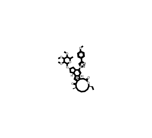 CC[C@H]1CCCC[C@@H](C)C(=O)C2=CC3[C@@H]4C[C@H](OC5OC(C)C(OC)C(OC)C5OC)CC4C(n4cc(-c5ccc(OC)cc5)nn4)=C[C@H]3[C@@H]2CC(=O)O1